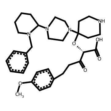 COc1ccc(CCC(=O)[C@H](OC2(N3CCN(C4CCCCN4Cc4ccccc4)CC3)CCNCC2)C(=O)O)cc1